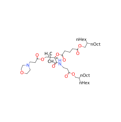 CCCCCCCCC(CCCCCC)COC(=O)CCCC(=O)O[C@@H](C(=O)NCCC(=O)OCC(CCCCCC)CCCCCCCC)C(C)(C)COC(=O)CCN1CCOCC1